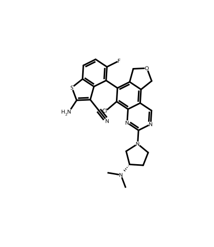 CN(C)[C@H]1CCN(c2ncc3c4c(c(-c5c(F)ccc6sc(N)c(C#N)c56)c(Cl)c3n2)COC4)C1